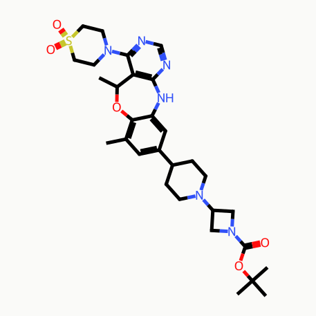 Cc1cc(C2CCN(C3CN(C(=O)OC(C)(C)C)C3)CC2)cc2c1OC(C)c1c(ncnc1N1CCS(=O)(=O)CC1)N2